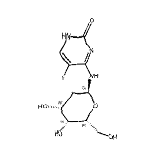 O=c1nc(N[C@@H]2C[C@@H](O)[C@@H](O)[C@@H](CO)O2)c(F)c[nH]1